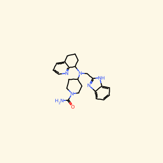 NC(=O)N1CCC(N(Cc2nc3ccccc3[nH]2)C2CCCc3cccnc32)CC1